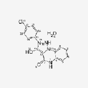 O.O=C1Nc2ccccc2N2NN(c3ccc(Cl)cc3)C(O)=C12